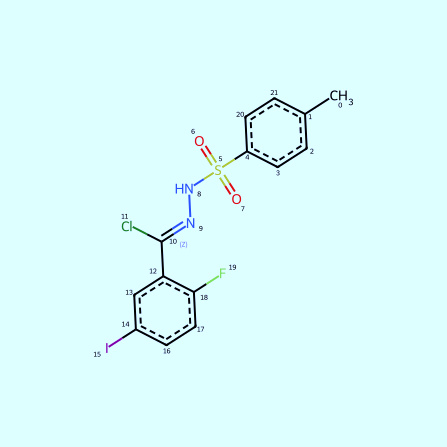 Cc1ccc(S(=O)(=O)N/N=C(\Cl)c2cc(I)ccc2F)cc1